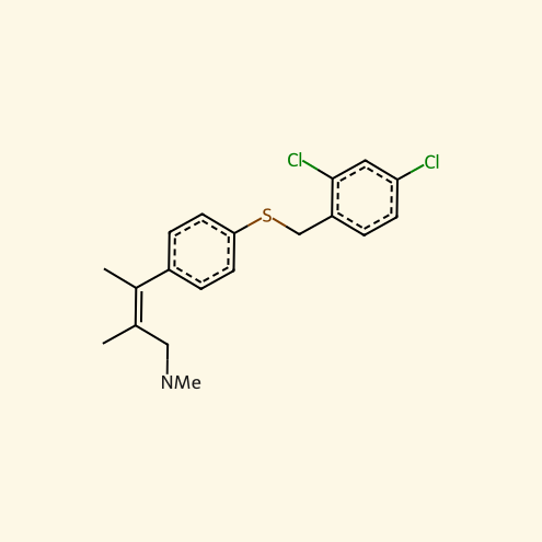 CNCC(C)=C(C)c1ccc(SCc2ccc(Cl)cc2Cl)cc1